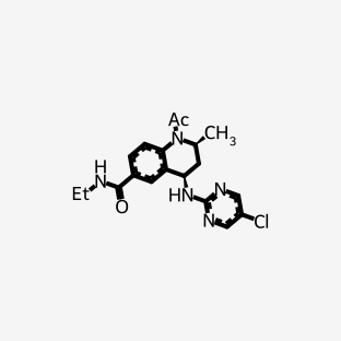 CCNC(=O)c1ccc2c(c1)[C@H](Nc1ncc(Cl)cn1)C[C@H](C)N2C(C)=O